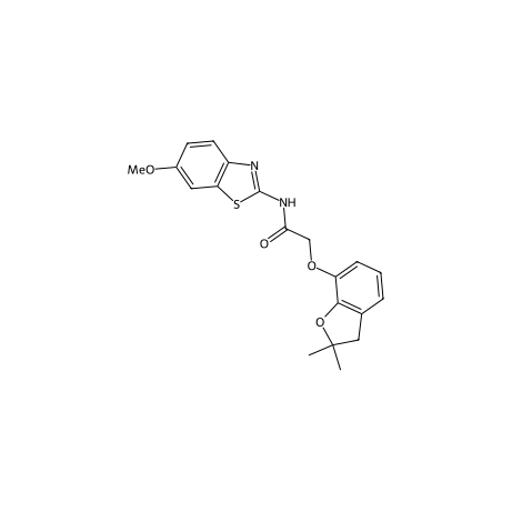 COc1ccc2nc(NC(=O)COc3cccc4c3OC(C)(C)C4)sc2c1